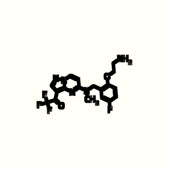 CN(Cc1cc(F)ccc1OCCN)c1ccn2ncc(C(=O)C(F)(F)F)c2n1